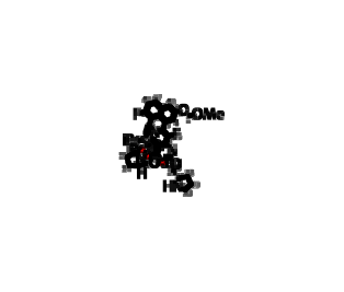 COCOc1cc(-c2ncc3c(N4C[C@H]5CC[C@@H](C4)N5C(=O)OC(C)(C)C)nc(OC[C@@H]4CCCN4)nc3c2F)c2c(C#C[Si](C(C)C)(C(C)C)C(C)C)c(F)ccc2c1